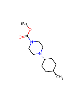 CC(C)(C)OC(=O)N1CCN([C@H]2CC[C@H](C)CC2)CC1